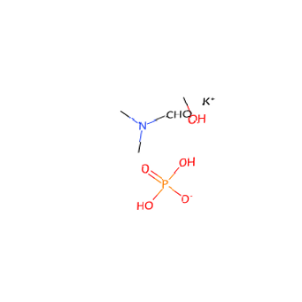 CN(C)C=O.CO.O=P([O-])(O)O.[K+]